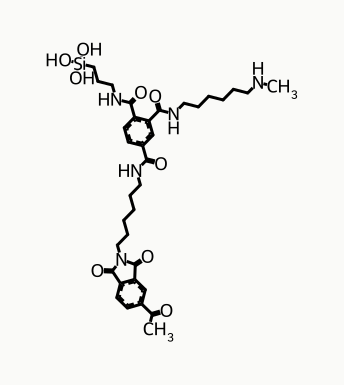 CNCCCCCCNC(=O)c1cc(C(=O)NCCCCCCN2C(=O)c3ccc(C(C)=O)cc3C2=O)ccc1C(=O)NCCC[Si](O)(O)O